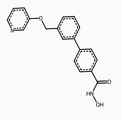 O=C(NO)c1ccc(-c2cccc(COc3cccnc3)c2)cc1